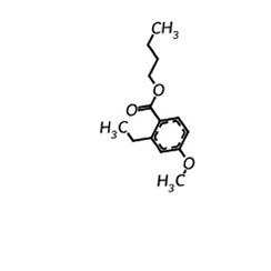 CCCCOC(=O)c1ccc(OC)cc1CC